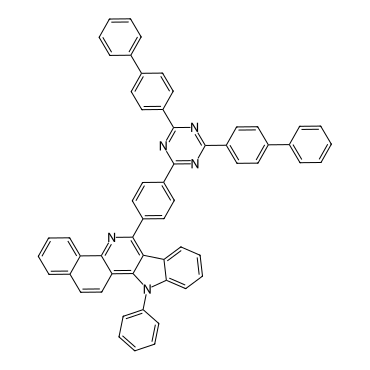 c1ccc(-c2ccc(-c3nc(-c4ccc(-c5ccccc5)cc4)nc(-c4ccc(-c5nc6c7ccccc7ccc6c6c5c5ccccc5n6-c5ccccc5)cc4)n3)cc2)cc1